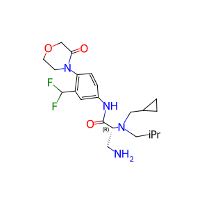 CC(C)CN(CC1CC1)[C@H](CN)C(=O)Nc1ccc(N2CCOCC2=O)c(C(F)F)c1